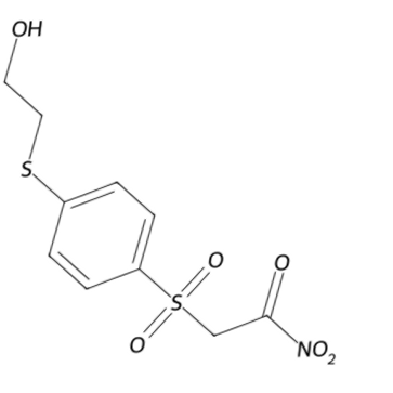 O=C(CS(=O)(=O)c1ccc(SCCO)cc1)[N+](=O)[O-]